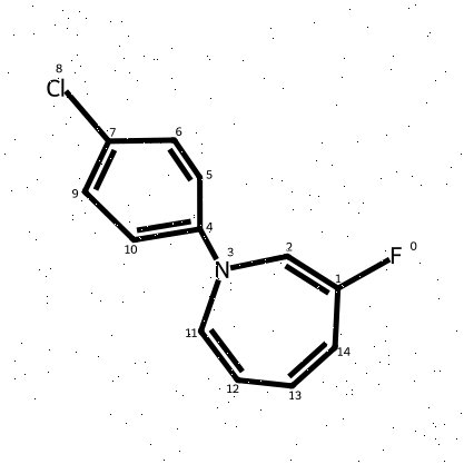 FC1=CN(c2ccc(Cl)cc2)C=CC=C1